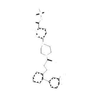 CS(=O)(=O)NC(=O)c1ccc(N2CCN(C(=O)CCc3ccccc3-c3cccc(O)c3)CC2)nn1